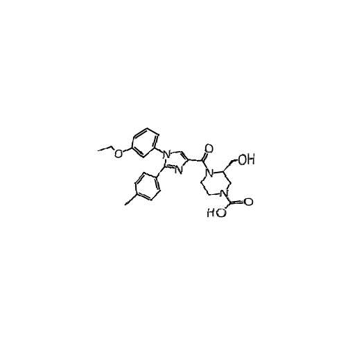 CCOc1cccc(-n2cc(C(=O)N3CCN(C(=O)O)C[C@@H]3CO)nc2-c2ccc(C)cc2)c1